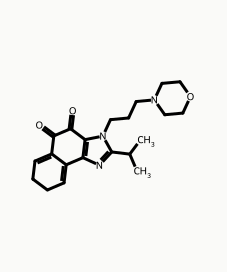 CC(C)c1nc2c(n1CCCN1CCOCC1)C(=O)C(=O)C1=CCCC=C12